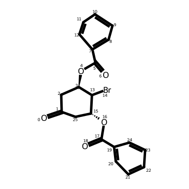 O=C1C[C@@H](OC(=O)c2ccccc2)C(Br)[C@H](OC(=O)c2ccccc2)C1